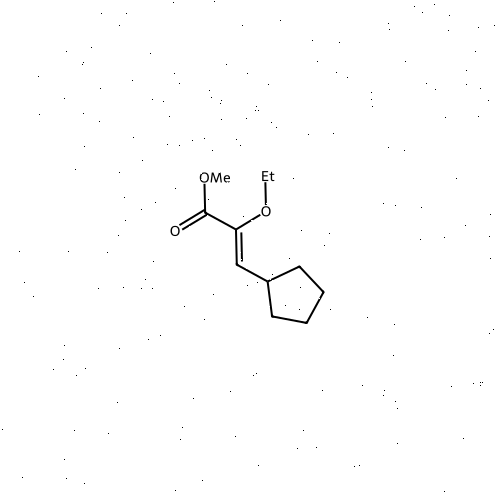 CCOC(=CC1CCCC1)C(=O)OC